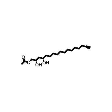 C#CCCCCCCCCCCC[C@H](O)C[C@@H](O)COC(C)=O